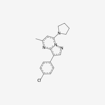 Cc1cc(N2CCCC2)n2ncc(-c3ccc(Cl)cc3)c2n1